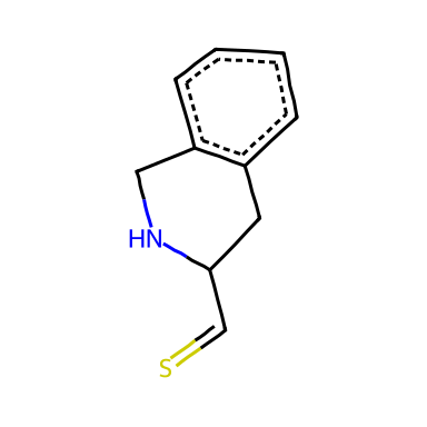 S=CC1Cc2ccccc2CN1